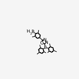 Bc1c(C)cc(-c2nnc(B(c3c(C)cc(C)cc3C)c3c(C)cc(C)cc3C)o2)cc1C